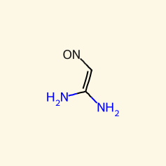 NC(N)=CN=O